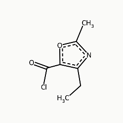 CCc1nc(C)oc1C(=O)Cl